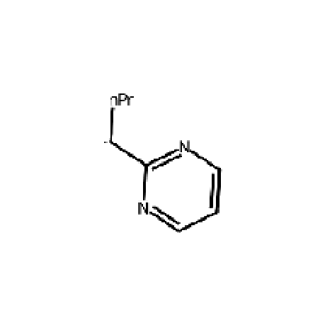 CCC[CH]c1ncccn1